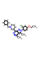 CCOc1ccc(-n2nc3c(C4CCCN(Cc5ccccc5)C4)nnc(C)c3c2C)c(F)c1